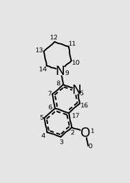 COc1cccc2cc(N3CCCCC3)ncc12